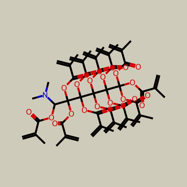 C=C(C)C(=O)OC(N(C)C)C(OC(=O)C(=C)C)(OC(=O)C(=C)C)C(OC(=O)C(=C)C)(OC(=O)C(=C)C)C(OC(=O)C(=C)C)(OC(=O)C(=C)C)C(OC(=O)C(=C)C)(OC(=O)C(=C)C)C(OC(=O)C(=C)C)(OC(=O)C(=C)C)OC(=O)C(=C)C